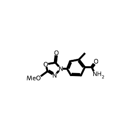 COc1nn(-c2ccc(C(N)=O)c(C)c2)c(=O)o1